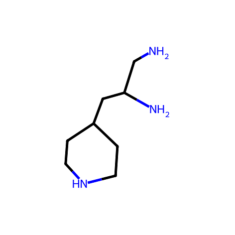 NCC(N)CC1CCNCC1